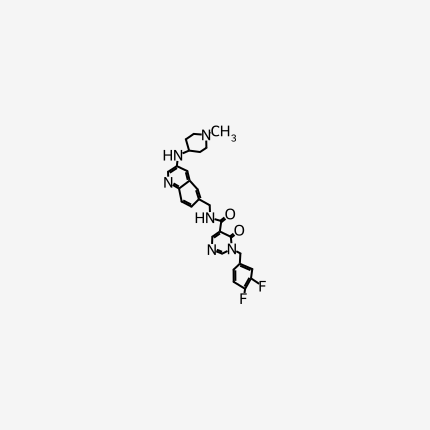 CN1CCC(Nc2cnc3ccc(CNC(=O)c4cncn(Cc5ccc(F)c(F)c5)c4=O)cc3c2)CC1